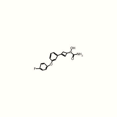 NC(=O)N(O)C1C=C(c2cccc(Oc3ccc(F)cc3)c2)C1